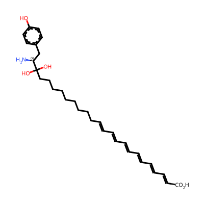 N[C@@H](Cc1ccc(O)cc1)C(O)(O)CCCCCCCCCC=CC=CC=CC=CC=CC=CC(=O)O